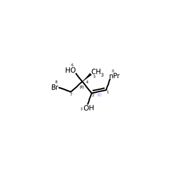 CCC/C=C(/O)[C@@](C)(O)CBr